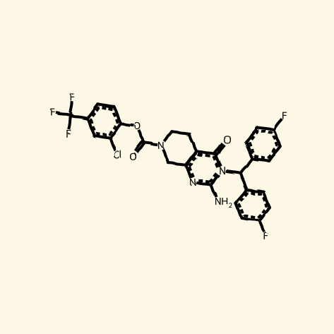 Nc1nc2c(c(=O)n1C(c1ccc(F)cc1)c1ccc(F)cc1)CCN(C(=O)Oc1ccc(C(F)(F)F)cc1Cl)C2